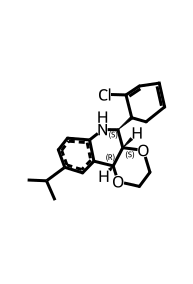 CC(C)c1ccc2c(c1)[C@H]1OCCO[C@H]1[C@H](C1CC=CC=C1Cl)N2